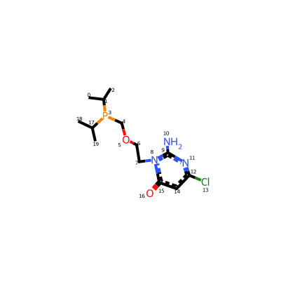 CC(C)P(COCCn1c(N)nc(Cl)cc1=O)C(C)C